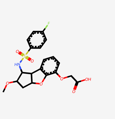 COC1CC2Oc3c(OCC(=O)O)cccc3C2C1NS(=O)(=O)c1ccc(F)cc1